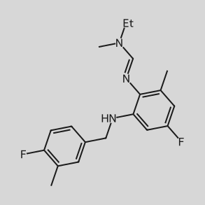 CCN(C)C=Nc1c(C)cc(F)cc1NCc1ccc(F)c(C)c1